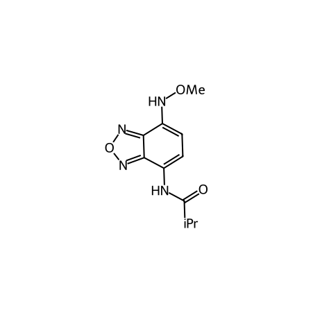 CONc1ccc(NC(=O)C(C)C)c2nonc12